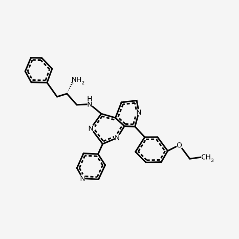 CCOc1cccc(-c2nccc3c(NC[C@@H](N)Cc4ccccc4)nc(-c4ccncc4)nc23)c1